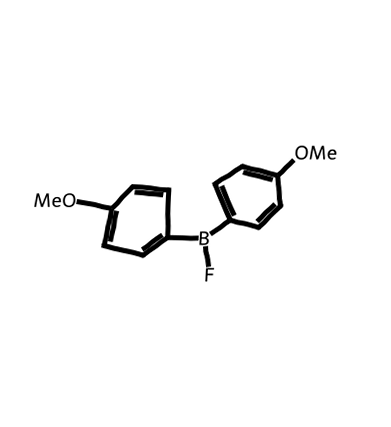 COc1ccc(B(F)c2ccc(OC)cc2)cc1